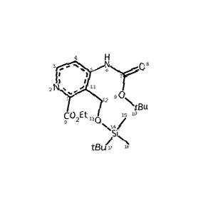 CCOC(=O)c1nccc(NC(=O)OC(C)(C)C)c1CO[Si](C)(C)C(C)(C)C